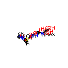 CCCCCCN(CCc1ccc(OCCNC(=O)OCCSC23CC4C[C@H](C2)CC(N(CC(=O)N2CCCC2C#N)C(=O)O)(C4)C3)cc1)C[C@H](O)[C@@H](O)[C@H](O)[C@H](O)CO